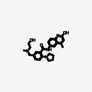 Cc1cc(O)nc2ccc(NC(=O)c3cc(CN(C)CCO)ccc3N3CCCC3)cc12